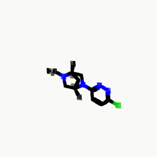 CN1C[C@@H]2C[C@H]1CN2c1ccc(Cl)nn1